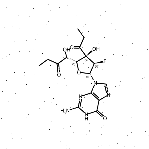 CCC(=O)C(O)[C@H]1O[C@@H](n2cnc3c(=O)[nH]c(N)nc32)[C@H](F)[C@@]1(O)C(=O)CC